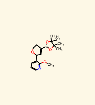 COc1ncccc1C1C=C(B2OC(C)(C)C(C)(C)O2)CCO1